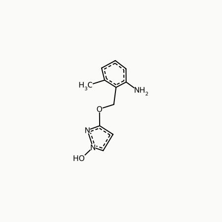 Cc1cccc(N)c1COc1ccn(O)n1